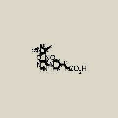 Cc1cc(Oc2ncnc(N3CCC(CCC(=O)O)CC3)c2[N+](=O)[O-])n(C)n1